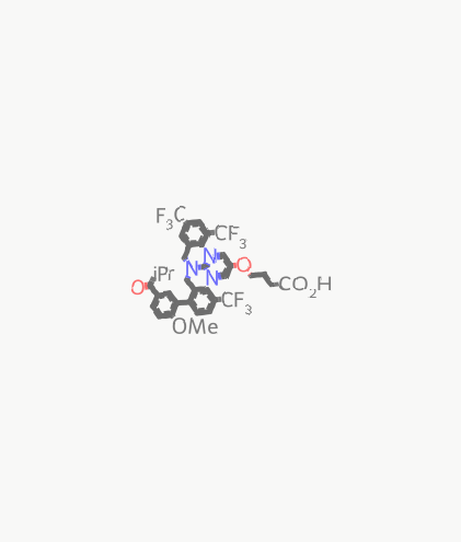 COc1ccc(C(=O)C(C)C)cc1-c1ccc(C(F)(F)F)cc1CN(Cc1cc(C(F)(F)F)cc(C(F)(F)F)c1)c1ncc(OCCCC(=O)O)cn1